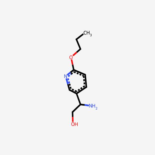 CCCOc1ccc(C(N)CO)cn1